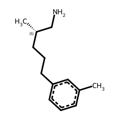 Cc1cccc(CCC[C@H](C)CN)c1